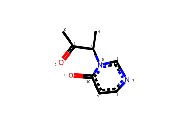 CC(=O)C(C)n1cnccc1=O